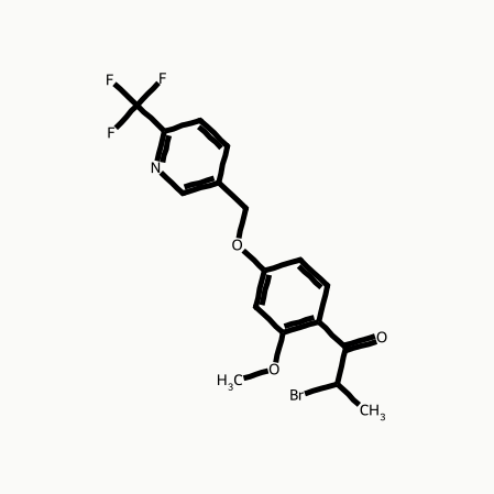 COc1cc(OCc2ccc(C(F)(F)F)nc2)ccc1C(=O)C(C)Br